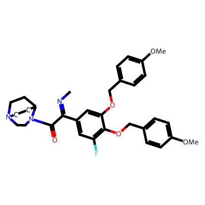 CN=C(C(=O)N1CCN2CCC1CC2)c1cc(F)c(OCc2ccc(OC)cc2)c(OCc2ccc(OC)cc2)c1